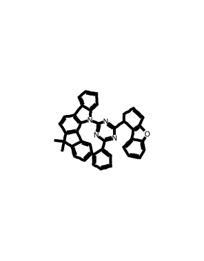 CC1(C)c2ccccc2-c2c1ccc1c3ccccc3n(-c3nc(-c4ccccc4)nc(C4CC=Cc5oc6ccccc6c54)n3)c21